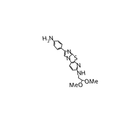 COC(CNc1ccc2c(n1)sc1nc(-c3ccc(N)cc3)cn12)OC